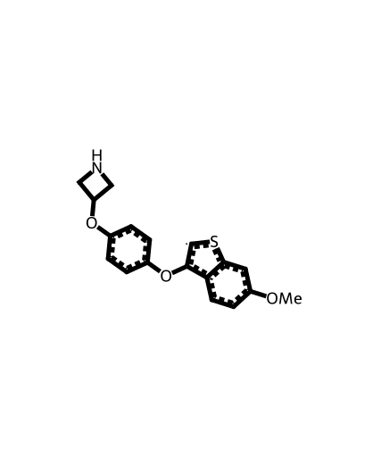 COc1ccc2c(Oc3ccc(OC4CNC4)cc3)[c]sc2c1